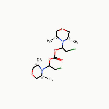 C[C@@H]1COC[C@H](C)N1C(CCl)OC(=O)OC(CCl)N1[C@H](C)COC[C@@H]1C